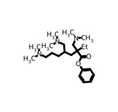 CCC(CC(CCCN(C)C)CN(C)C)(CN(C)C)C(=O)Oc1ccccc1